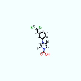 O=C(O)N1C[C@@H]2C[C@H]1CN2c1cccc(C=C(Br)Br)c1